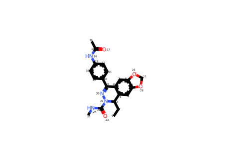 CCC1c2cc3c(cc2C(c2ccc(NC(C)=O)cc2)=NN1C(=O)NC)OCO3